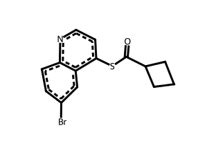 O=C(Sc1ccnc2ccc(Br)cc12)C1CCC1